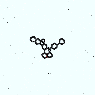 c1ccc(-c2ccc(N(c3ccccc3)c3cc4oc5cc6ccccc6cc5c4cc3-c3ccccc3)cc2)cc1